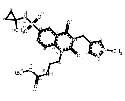 Cn1cc(Cn2c(=O)c3cc(S(=O)(=O)NC4(C)CC4)ccc3n(CCNC(=O)OC(C)(C)C)c2=O)cn1